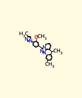 COc1cc(-c2nnc3c(C(C)c4ccc(C)cc4)cccn23)ccc1-n1cnc(C)c1